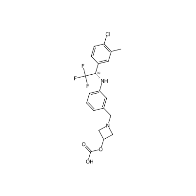 Cc1cc([C@H](Nc2cccc(CN3CC(OC(=O)O)C3)c2)C(F)(F)F)ccc1Cl